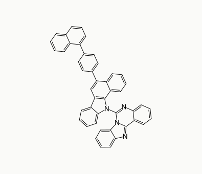 c1ccc2c(-c3ccc(-c4cc5c6ccccc6n(-c6nc7ccccc7c7nc8ccccc8n67)c5c5ccccc45)cc3)cccc2c1